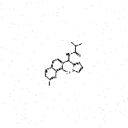 Cc1ccc2ccc(C(NC(=O)C(C)C)c3cccs3)c(O)c2n1